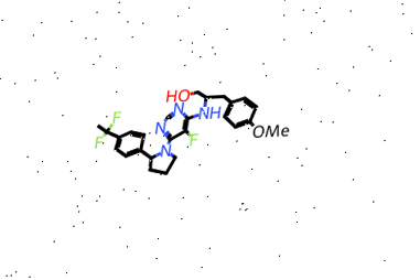 COc1ccc(CC(CO)Nc2ncnc(N3CCCC3c3ccc(C(C)(F)F)cc3)c2F)cc1